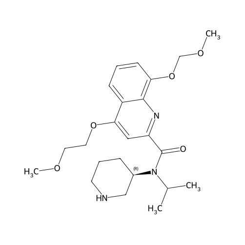 COCCOc1cc(C(=O)N(C(C)C)[C@@H]2CCCNC2)nc2c(OCOC)cccc12